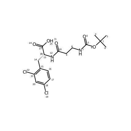 CC(C)(C)OC(=O)NCCC(=O)N[C@H](Cc1ccc(Cl)cc1Cl)C(=O)O